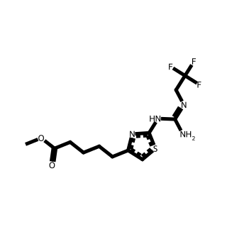 COC(=O)CCCCc1csc(N/C(N)=N\CC(F)(F)F)n1